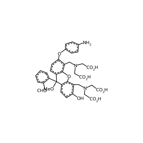 COC1(c2ccccc2C=O)c2ccc(O)c(CN(CC(=O)O)CC(=O)O)c2Oc2c1ccc(Oc1ccc(N)cc1)c2CN(CC(=O)O)CC(=O)O